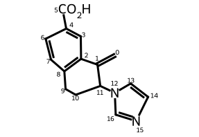 C=C1c2cc(C(=O)O)ccc2CCC1n1ccnc1